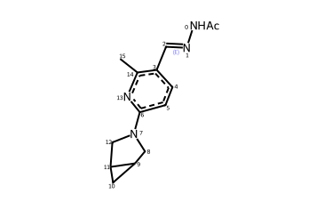 CC(=O)N/N=C/c1ccc(N2CC3CC3C2)nc1C